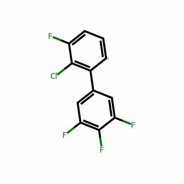 Fc1cc(-c2[c]ccc(F)c2Cl)cc(F)c1F